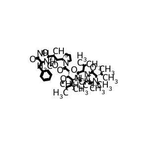 CC[C@H](C)[C@@H]([C@@H](CC(=O)N1CCC[C@H]1[C@H](OC)[C@@H](C)C(=O)NC(Cc1ccccc1)C(N)=O)OC)N(C)C(=O)[C@@H](NC(=O)[C@H](C(C)C)N(C)C(C)(C)C)C(C)C